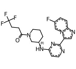 O=C(CCC(F)(F)F)N1CCC[C@@H](Nc2ccnc(-c3cnc4ccc(F)cn34)n2)C1